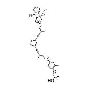 CCOC(COCC=C(C)C#Cc1cccc(C#CC(C)=CCSc2ccc(OCC(=O)O)c(C)c2)c1)(C(=O)O)c1ccccc1